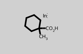 CC1(C(=O)O)CCCCC1.[In]